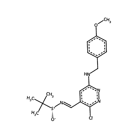 COc1ccc(CNc2cc(C=N[S@+]([O-])C(C)(C)C)c(Cl)nn2)cc1